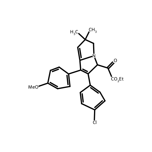 CCOC(=O)C(=O)C1C(c2ccc(Cl)cc2)=C(c2ccc(OC)cc2)C2=CC(C)(C)CN21